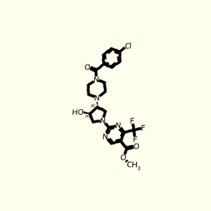 COC(=O)c1cnc(N2C[C@@H](O)[C@H](N3CCN(C(=O)c4ccc(Cl)cc4)CC3)C2)nc1C(F)(F)F